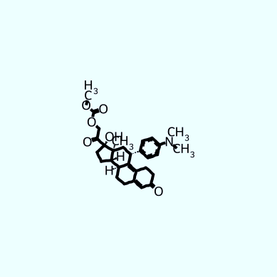 COC(=O)OCC(=O)[C@@]1(O)CC[C@H]2[C@@H]3CCC4=CC(=O)CCC4=C3[C@@H](c3ccc(N(C)C)cc3)C[C@@]21C